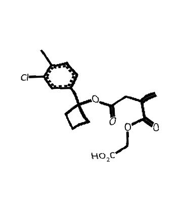 C=C(CC(=O)OC1(c2ccc(C)c(Cl)c2)CCC1)C(=O)OCC(=O)O